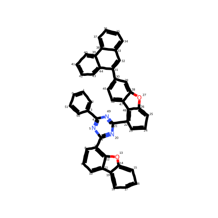 c1ccc(-c2nc(-c3cccc4c3oc3ccccc34)nc(-c3cccc4oc5cc(-c6cc7ccccc7c7ccccc67)ccc5c34)n2)cc1